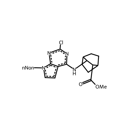 CCCCCCCCCn1ccc2c(NC3C4CCC(CC4)C3C(=O)OC)nc(Cl)nc21